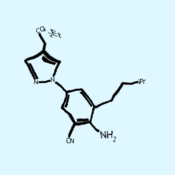 CCOC(=O)c1cnn(-c2cc(C#N)c(N)c(CCC(C)C)c2)c1